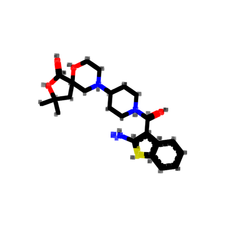 CC1(C)CC2(CN(C3CCN(C(=O)c4c(N)sc5ccccc45)CC3)CCO2)C(=O)O1